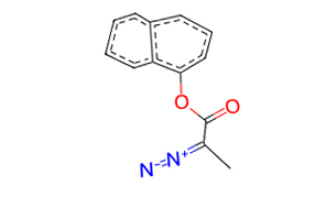 CC(=[N+]=[N-])C(=O)Oc1cccc2ccccc12